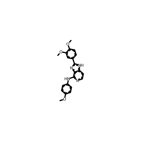 COc1ccc(Nc2nccc3[nH]c(-c4ccc(OC)c(OC)c4)nc23)cc1